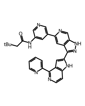 CC(C)(C)CC(=O)Nc1cncc(-c2cc3c(-c4cc5c(-c6ccccn6)nccc5[nH]4)n[nH]c3cn2)c1